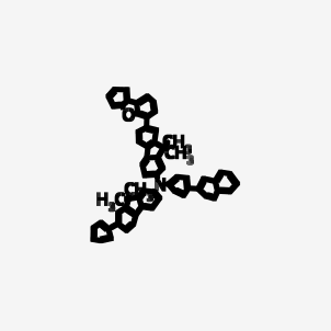 CC1(C)c2cc(-c3ccccc3)ccc2-c2ccc(N(c3ccc(-c4ccc5ccccc5c4)cc3)c3ccc4c(c3)C(C)(C)c3cc(-c5cccc6c5oc5ccccc56)ccc3-4)cc21